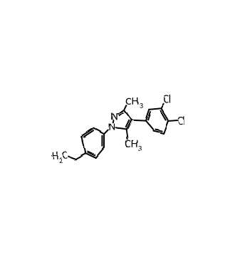 [CH2]Cc1ccc(-n2nc(C)c(-c3ccc(Cl)c(Cl)c3)c2C)cc1